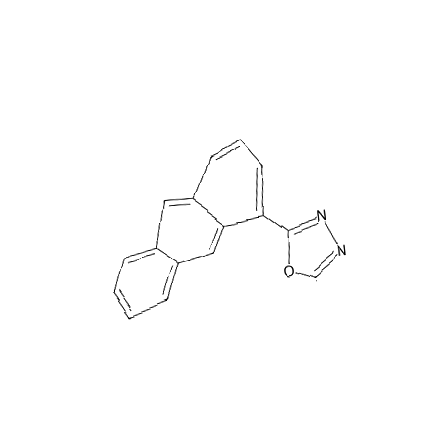 [c]1nnc(-c2cccc3cc4ccccc4cc23)o1